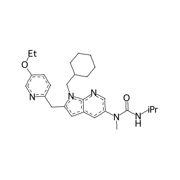 CCOc1ccc(Cc2cc3cc(N(C)C(=O)NC(C)C)cnc3n2CC2CCCCC2)nc1